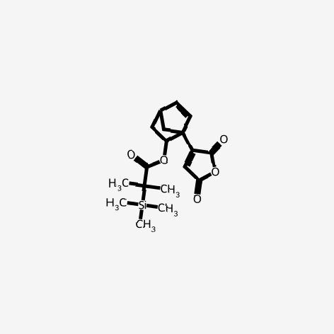 CC(C)(C(=O)OC1CC2C=CC1(C1=CC(=O)OC1=O)C2)[Si](C)(C)C